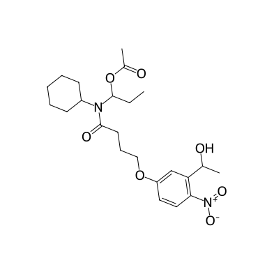 CCC(OC(C)=O)N(C(=O)CCCOc1ccc([N+](=O)[O-])c(C(C)O)c1)C1CCCCC1